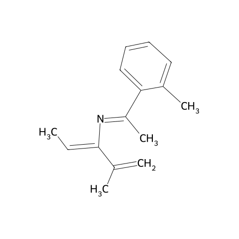 C=C(C)C(=C/C)/N=C(\C)c1ccccc1C